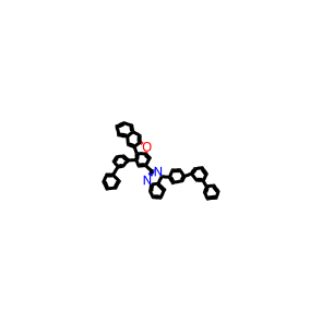 c1ccc(-c2cccc(-c3ccc(-c4nc(-c5cc(-c6cccc(-c7ccccc7)c6)c6c(c5)oc5cc7ccccc7cc56)nc5ccccc45)cc3)c2)cc1